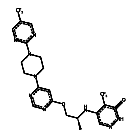 C[C@@H](COc1cc(N2CCN(c3ncc(C(F)(F)F)cn3)CC2)ncn1)Nc1cn[nH]c(=O)c1C(F)(F)F